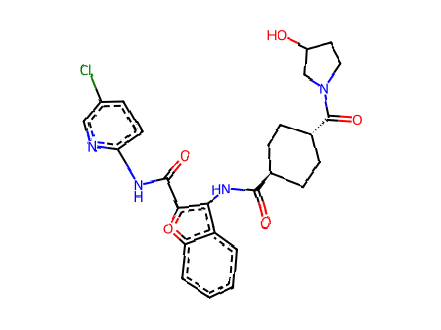 O=C(Nc1ccc(Cl)cn1)c1oc2ccccc2c1NC(=O)[C@H]1CC[C@H](C(=O)N2CCC(O)C2)CC1